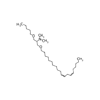 CCCCC/C=C\C/C=C\CCCCCCCCCCOCC(COCCCCC)N(C)C